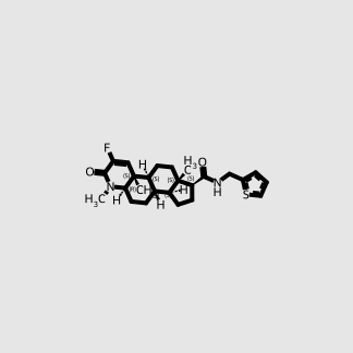 CN1C(=O)C(F)=C[C@]2(C)[C@H]3CC[C@]4(C)[C@@H](C(=O)NCc5cccs5)CC[C@H]4[C@@H]3CC[C@@H]12